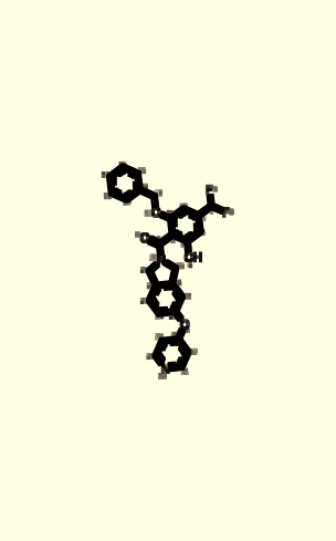 O=C(c1c(O)cc(C(F)F)cc1OCc1ccccc1)N1Cc2ccc(Oc3ccncc3)cc2C1